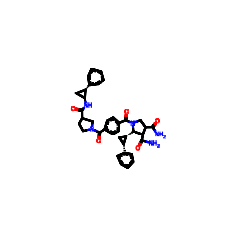 NC(=O)C1CN(C(=O)c2ccc(C(=O)N3CCC(C(=O)N[C@H]4C[C@@H]4c4ccccc4)C3)cc2)C([C@H]2C[C@H]2c2ccccc2)C1C(N)=O